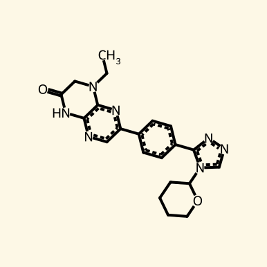 CCN1CC(=O)Nc2ncc(-c3ccc(-c4nncn4C4CCCCO4)cc3)nc21